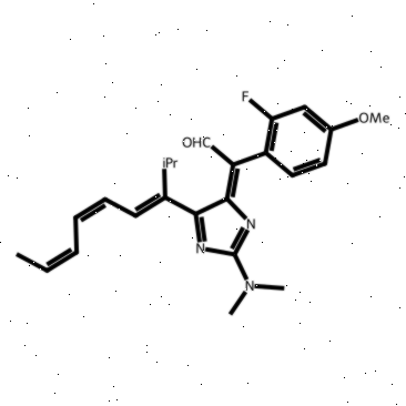 C\C=C/C=C\C=C(\C1=NC(N(C)C)=N/C1=C(/C=O)c1ccc(OC)cc1F)C(C)C